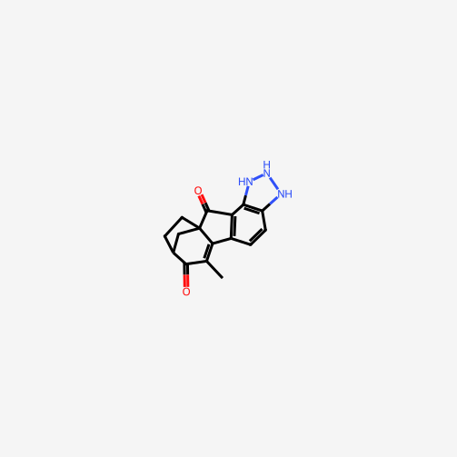 CC1=C2c3ccc4c(c3C(=O)C23CCC(C3)C1=O)NNN4